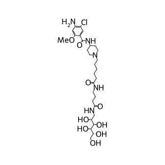 COc1cc(N)c(Cl)cc1C(=O)NC1CCN(CCCCCC(=O)NCCCC(=O)NC[C@H](O)[C@@H](O)[C@H](O)[C@H](O)CO)CC1